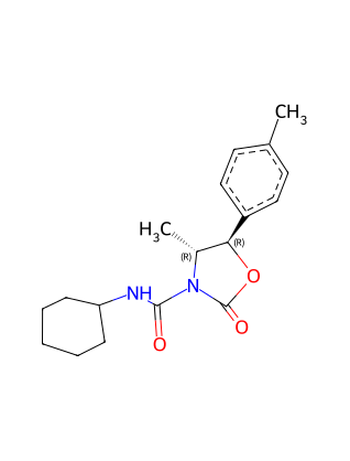 Cc1ccc([C@H]2OC(=O)N(C(=O)NC3CCCCC3)[C@@H]2C)cc1